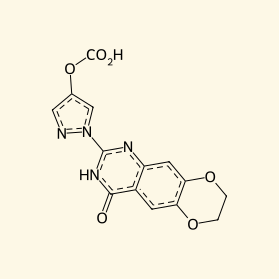 O=C(O)Oc1cnn(-c2nc3cc4c(cc3c(=O)[nH]2)OCCO4)c1